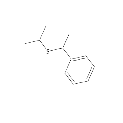 CC(C)SC(C)c1ccccc1